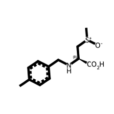 Cc1ccc(CN[C@@H](C[S+](C)[O-])C(=O)O)cc1